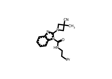 CC(C)CCNC(=O)n1c(N2CC(C)(C#N)C2)nc2ccccc21